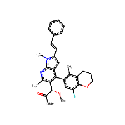 COC(=O)[C@@H](OC(C)(C)C)c1c(C)nc2c(cc(/C=C/c3ccccc3)n2C)c1-c1cc(F)c2c(c1C)CCCO2